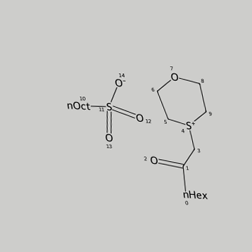 CCCCCCC(=O)C[S+]1CCOCC1.CCCCCCCCS(=O)(=O)[O-]